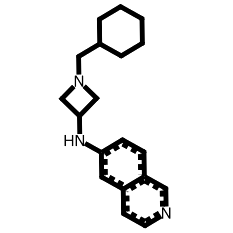 c1cc2cc(NC3CN(CC4CCCCC4)C3)ccc2cn1